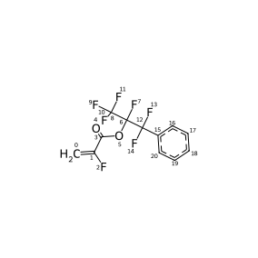 C=C(F)C(=O)OC(F)(C(F)(F)F)C(F)(F)c1ccccc1